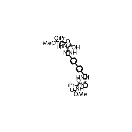 COC(=O)N[C@H](C(=O)N[C@H](c1ncc(-c2ccc(-c3ccc(-c4cnc([C@@H]5CCCN5C(=O)[C@@H](NC(=O)OC)C(C)C)[nH]4)cc3)cc2)[nH]1)[C@@H](C)O)C(C)C